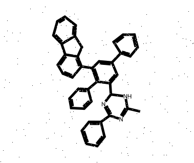 CC1=NC(c2ccccc2)=NC(c2cc(-c3ccccc3)cc(-c3cccc4c3Cc3ccccc3-4)c2-c2ccccc2)N1